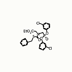 CCOC(=O)CN(CP(=O)(Oc1cccc(Cl)c1)Oc1cccc(Cl)c1)C(=O)SCc1ccccc1